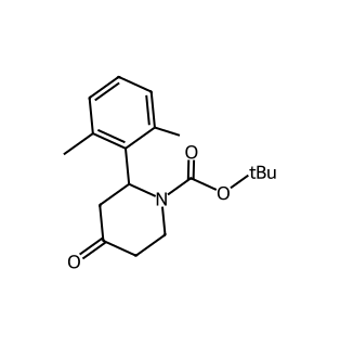 Cc1cccc(C)c1C1CC(=O)CCN1C(=O)OC(C)(C)C